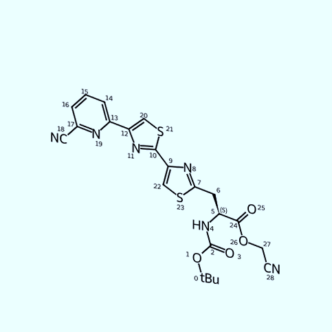 CC(C)(C)OC(=O)N[C@@H](Cc1nc(-c2nc(-c3cccc(C#N)n3)cs2)cs1)C(=O)OCC#N